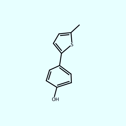 Cc1ccc(-c2ccc(O)cc2)s1